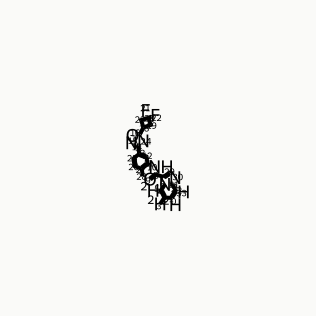 [2H]c1c([2H])c([2H])n2c(C(=O)Nc3cc(-c4noc(C5CC(F)(F)C5)n4)ccc3C)cnc2c1[2H]